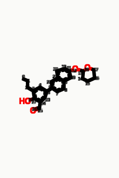 CCCc1cc(-c2ccc3cc(OC4CCCCO4)ccc3c2)cc(C=O)c1O